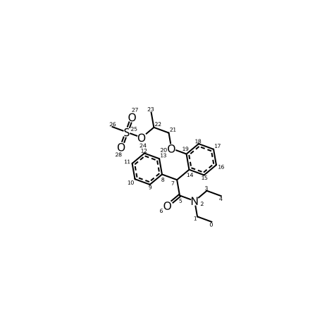 CCN(CC)C(=O)C(c1ccccc1)c1ccccc1OCC(C)OS(C)(=O)=O